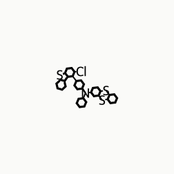 Clc1ccc2sc3ccccc3c2c1-c1ccc(N(c2ccccc2)c2ccc3c(c2)Sc2ccccc2S3)cc1